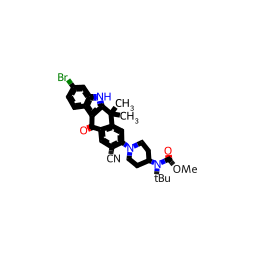 COC(=O)N(C1CCN(c2cc3c(cc2C#N)C(=O)c2c([nH]c4cc(Br)ccc24)C3(C)C)CC1)C(C)(C)C